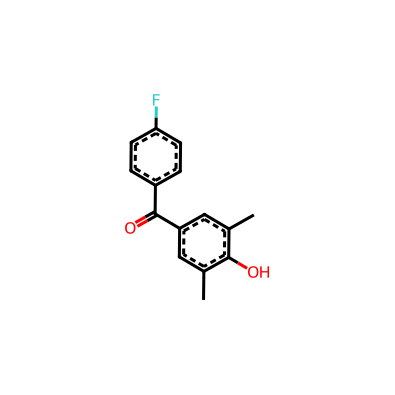 Cc1cc(C(=O)c2ccc(F)cc2)cc(C)c1O